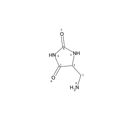 NCC1NC(=O)NC1=O